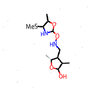 CSC1NC(ONCC2C(C)C(O)O[C@@H]2C)OC1C